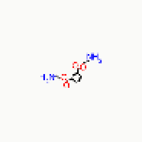 NCCOC(=O)c1cccc(C(=O)OCCN)c1